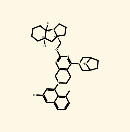 Oc1cc(N2CCc3c(nc(OC[C@]45CCCN4[C@H]4CCCC[C@H]4C5)nc3N3CC4CCC(C3)N4)C2)c2c(I)cccc2c1